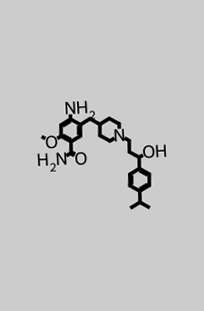 COc1cc(N)c(CC2CCN(CCC(O)c3ccc(C(C)C)cc3)CC2)cc1C(N)=O